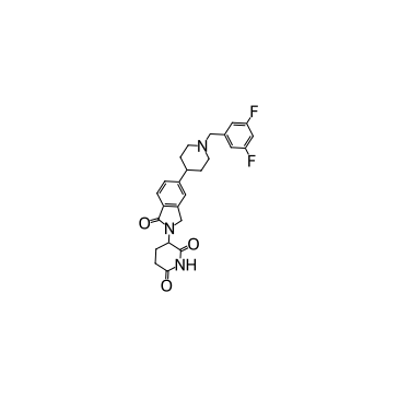 O=C1CCC(N2Cc3cc(C4CCN(Cc5cc(F)cc(F)c5)CC4)ccc3C2=O)C(=O)N1